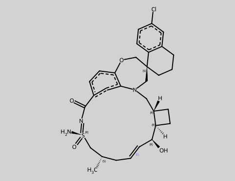 C[C@H]1C/C=C/[C@H](O)[C@@H]2CC[C@H]2CN2C[C@@]3(CCCc4cc(Cl)ccc43)COc3ccc(cc32)C(=O)N=[S@@](N)(=O)C1